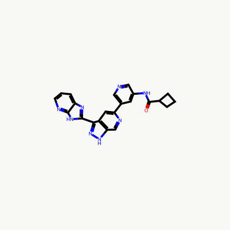 O=C(Nc1cncc(-c2cc3c(-c4nc5cccnc5[nH]4)n[nH]c3cn2)c1)C1CCC1